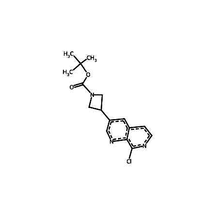 CC(C)(C)OC(=O)N1CC(c2cnc3c(Cl)nccc3c2)C1